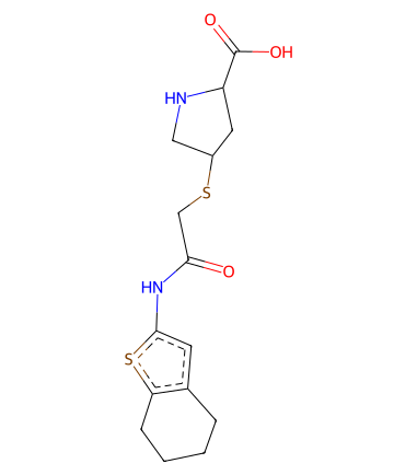 O=C(CSC1CNC(C(=O)O)C1)Nc1cc2c(s1)CCCC2